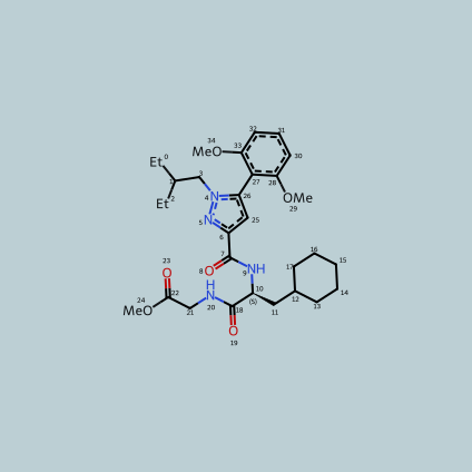 CCC(CC)Cn1nc(C(=O)N[C@@H](CC2CCCCC2)C(=O)NCC(=O)OC)cc1-c1c(OC)cccc1OC